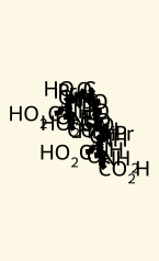 CC(C)[C@H](NC(=O)[C@H](CCC(=O)O)NC(=O)[C@@H](N)CC(=O)O)C(=O)N[C@@H](CC(=O)O)C(=O)C(F)C(=O)C(F)C(=O)[C@H](CC(=O)O)NC(=O)[C@@H](NC(=O)[C@H](CCC(=O)O)NC(=O)[C@@H](N)CC(=O)O)C(C)C